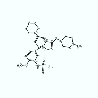 COc1ncc(-c2nc(N3CCOCC3)nc3c(CN4CCN(C)CC4)csc23)cc1NS(C)(=O)=O